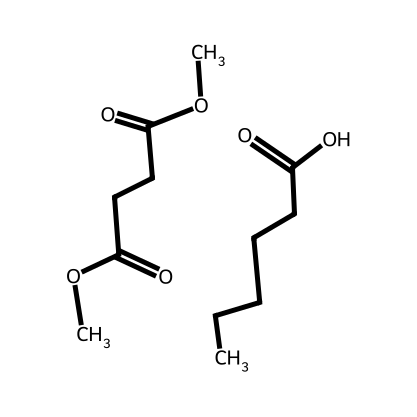 CCCCCC(=O)O.COC(=O)CCC(=O)OC